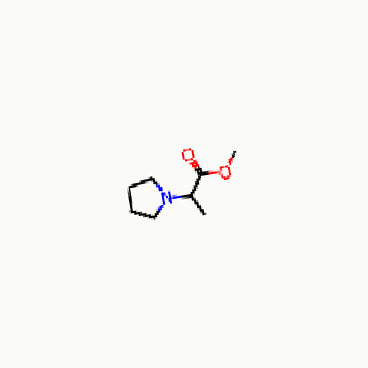 COC(=O)C(C)N1CCCC1